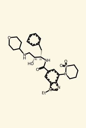 CCn1cnc2c(N3CCCCS3(=O)=O)cc(C(=O)N[C@@H](Cc3ccccc3)[C@H](O)CNC3CCOCC3)cc21